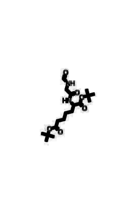 CC(C)(C)OC(=O)CCCCC(NC(=O)CNC=O)C(=O)OC(C)(C)C